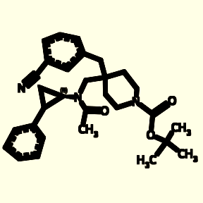 CC(=O)N(CC1(Cc2cccc(C#N)c2)CCN(C(=O)OC(C)(C)C)CC1)[C@@H]1CC1c1ccccc1